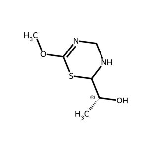 COC1=NCNC([C@@H](C)O)S1